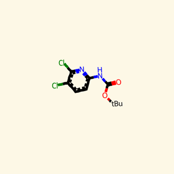 CC(C)(C)OC(=O)Nc1ccc(Cl)c(Cl)n1